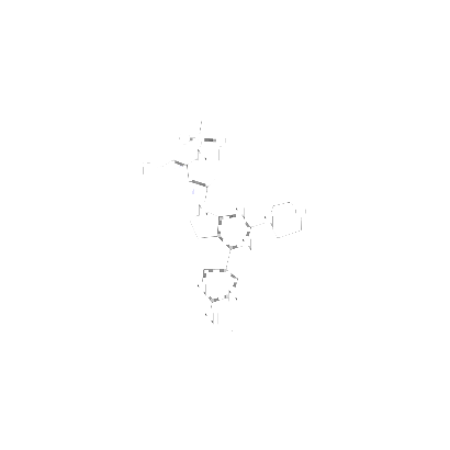 C/C(=C\C(=C/C(C)C)NS(C)(=O)=O)N1CCc2c(-c3cnc(N)nc3)nc(N3CCOCC3)nc21